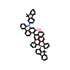 CC1(C)c2ccccc2-c2ccc(N(c3ccc(-c4cc5c6ccccc6c(B(c6ccccc6-c6ccccc6)c6cccc7c6C(C)(C)c6ccccc6-7)cc5c5ccccc45)c(O)c3)c3ccccc3-c3ccccc3)cc21